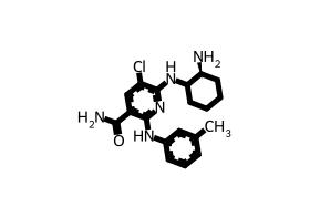 Cc1cccc(Nc2nc(NC3CCCC[C@@H]3N)c(Cl)cc2C(N)=O)c1